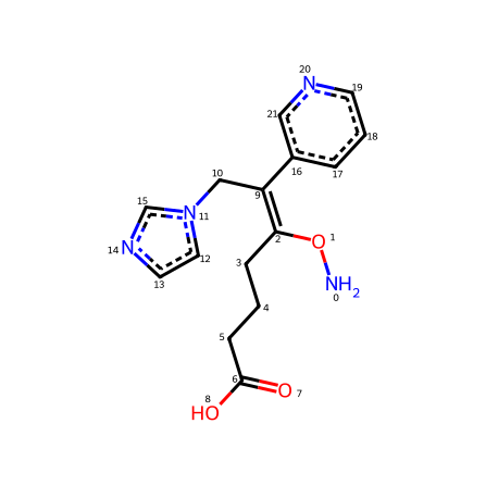 NOC(CCCC(=O)O)=C(Cn1ccnc1)c1cccnc1